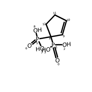 O=P(O)(O)C1(P(=O)(O)O)C=CCC1